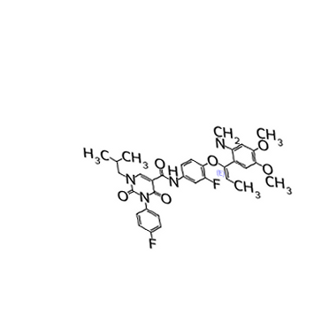 C=Nc1cc(OC)c(OC)cc1/C(=C\C)Oc1ccc(NC(=O)c2cn(CC(C)C)c(=O)n(-c3ccc(F)cc3)c2=O)cc1F